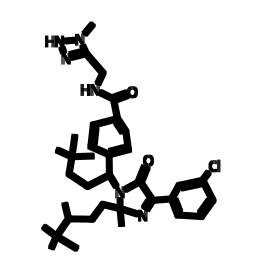 CC(CCC1(C)N=C(c2cccc(Cl)c2)C(=O)N1C(CCC(C)(C)C)c1ccc(C(=O)NCc2n[nH]n2C)cc1)C(C)(C)C